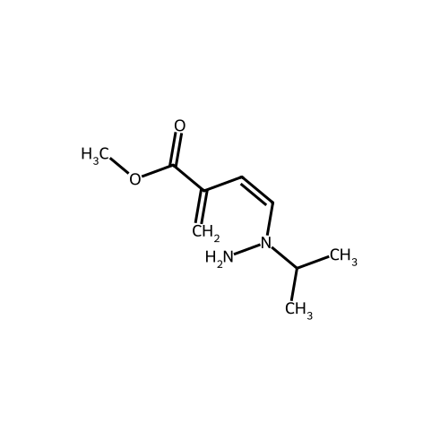 C=C(/C=C\N(N)C(C)C)C(=O)OC